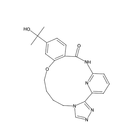 CC(C)(O)c1ccc2c(c1)OCCCCn1cnnc1-c1cccc(n1)NC2=O